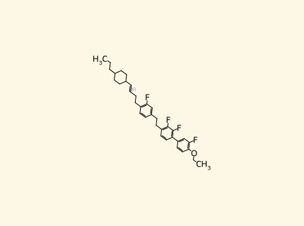 CCCC1CCC(/C=C/CCc2ccc(CCc3ccc(-c4ccc(OCC)c(F)c4)c(F)c3F)cc2F)CC1